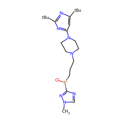 Cn1cnc([S+]([O-])CCCN2CCN(c3cc(C(C)(C)C)nc(C(C)(C)C)n3)CC2)n1